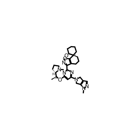 C[C@H](Oc1cc(N2Cc3cnn(C)c3C2)nc(-c2noc3c2CCC[C@@]32CCCCC2=O)n1)[C@@H]1CCCN1C